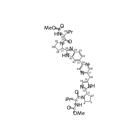 COC(=O)NC(C(=O)N1CCCC1c1ncc(Cc2cnc(-c3ccc4nc(C5CCCN5C(=O)C(NC(=O)OC)C(C)C)[nH]c4c3)cn2)[nH]1)C(C)C